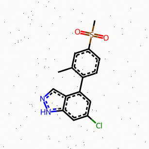 Cc1cc(S(C)(=O)=O)ccc1-c1cc(Cl)cc2[nH]ncc12